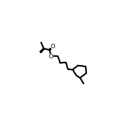 C=C(C)C(=O)OCCCCC1CCCC(C)C1